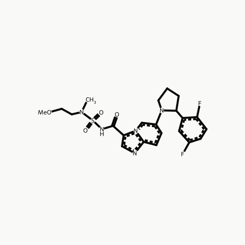 COCCN(C)S(=O)(=O)NC(=O)c1cnc2ccc(N3CCCC3c3cc(F)ccc3F)cn12